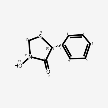 O=C1[C@@H](c2ccccc2)SCN1O